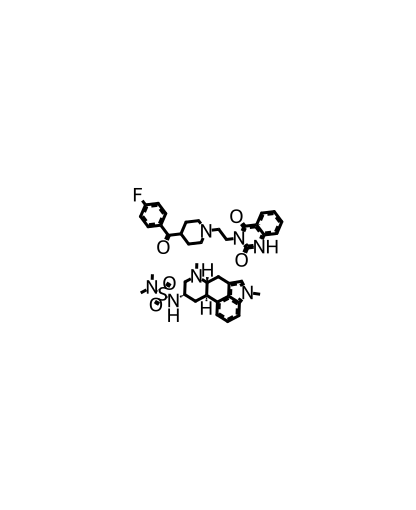 CN1C[C@@H](NS(=O)(=O)N(C)C)C[C@@H]2c3cccc4c3c(cn4C)C[C@H]21.O=C(c1ccc(F)cc1)C1CCN(CCn2c(=O)[nH]c3ccccc3c2=O)CC1